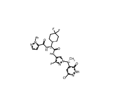 CC(C)n1nccc1C(=O)N[C@H](C(=O)Nc1cn([C@H](C)c2cc(Cl)n[nH]c2=O)nc1F)C1CCC(F)(F)CC1